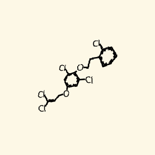 ClC(Cl)=CCOc1cc(Cl)c(OCCc2ccccc2Cl)c(Cl)c1